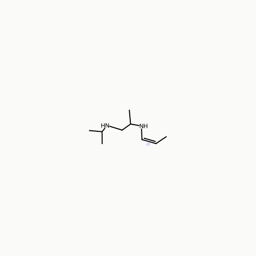 C/C=C\NC(C)CNC(C)C